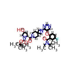 CCN(C(=O)c1cc(F)ccc1Oc1cncnc1N1CC2(CCN(C(=O)[C@@H]3C[C@H](O)CN3C(=O)OC(C)(C)C)CC2)C1)C(C)C